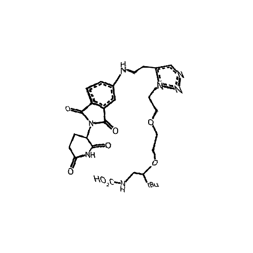 CC(C)(C)C(CNC(=O)O)OCCOCCn1nncc1CCNc1ccc2c(c1)C(=O)N(C1CCC(=O)NC1=O)C2=O